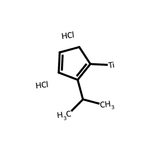 CC(C)C1=[C]([Ti])CC=C1.Cl.Cl